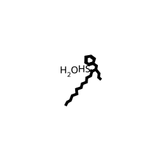 CCCCCCCCCCCC(S)C(CCC)Cc1ccccc1.O